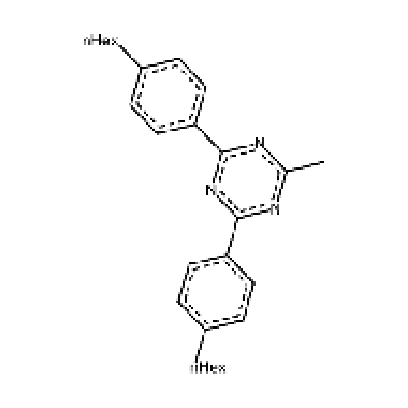 CCCCCCc1ccc(-c2nc(C)nc(-c3ccc(CCCCCC)cc3)n2)cc1